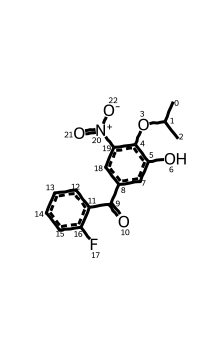 CC(C)Oc1c(O)cc(C(=O)c2ccccc2F)cc1[N+](=O)[O-]